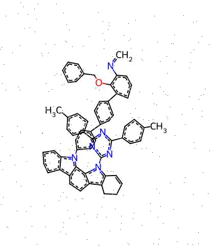 C=Nc1cccc(-c2ccc(-c3ccc(-n4c5ccccc5c5ccc6c7c(n(-c8nc(-c9ccc(C)cc9)nc(-c9ccc(C)cc9)n8)c6c54)C=CCC7)cc3)cc2)c1OCc1ccccc1